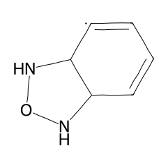 [C]1=CC=CC2NONC12